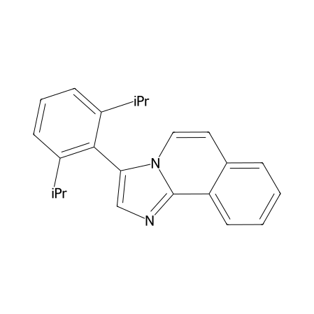 CC(C)c1cccc(C(C)C)c1-c1cnc2c3ccccc3ccn12